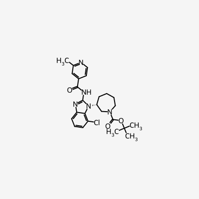 Cc1cc(C(=O)Nc2nc3cccc(Cl)c3n2[C@@H]2CCCCN(C(=O)OC(C)(C)C)C2)ccn1